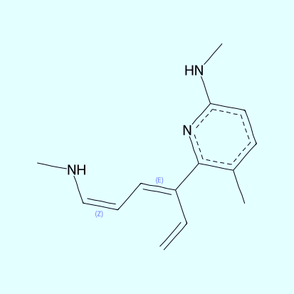 C=C/C(=C\C=C/NC)c1nc(NC)ccc1C